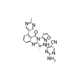 Cc1ncc(-c2cccc3nc([C@@H](C)Nc4nc(N)ncc4C#N)n(-c4ccon4)c(=O)c23)cn1